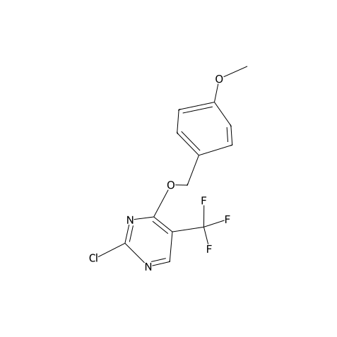 COc1ccc(COc2nc(Cl)ncc2C(F)(F)F)cc1